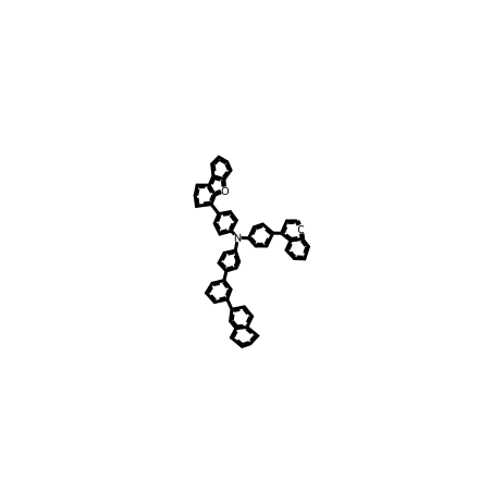 c1cc(-c2ccc(N(c3ccc(-c4cccc5ccccc45)cc3)c3ccc(-c4cccc5c4oc4ccccc45)cc3)cc2)cc(-c2ccc3ccccc3c2)c1